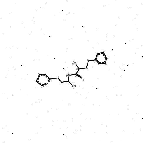 N#CC(CCc1ccccc1)NC(=O)C(O)CCc1ccccc1